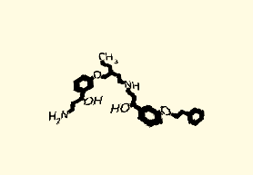 CCCC(CCNCCC(O)c1cccc(OCCc2ccccc2)c1)COc1cccc([C@H](O)CCN)c1